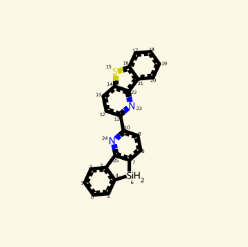 c1ccc2c(c1)[SiH2]c1ccc(-c3ccc4sc5ccccc5c4n3)nc1-2